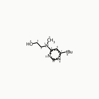 CN(CCO)c1cc(C(C)(C)C)ncn1